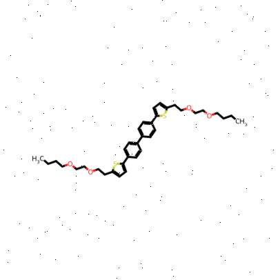 CCCCOCCOCCc1ccc(-c2ccc(-c3ccc(-c4ccc(CCOCCOCCCC)s4)cc3)cc2)s1